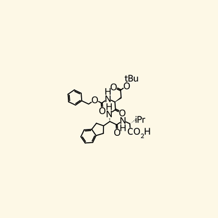 CC(C)[C@@H](NC(=O)[C@@H](NC(=O)[C@H](CC(=O)OC(C)(C)C)NC(=O)OCc1ccccc1)C1Cc2ccccc2C1)C(=O)O